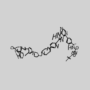 Cc1cc(-c2ncnc3[nH]c(-c4ccc(N5CCN(CC6CCN(c7ccc(N8CCC(=O)NC8=O)c(C)c7)CC6)CC5)cn4)nc23)ccc1C(C)NC(=O)c1noc(C(C)(C)C)n1